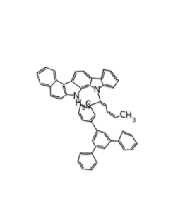 C=C/C(=C\C=C/C)n1c2ccccc2c2ccc3c4c5ccccc5ccc4n(-c4ccc(-c5cc(-c6ccccc6)cc(-c6ccccc6)c5)cc4)c3c21